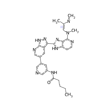 C=N/C(C)=C\N(C)c1nccc2[nH]c(-c3n[nH]c4ncc(-c5cncc(NC(=O)CCCC)c5)cc34)nc12